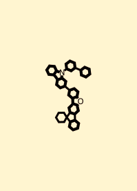 c1ccc(-c2cccc(-n3c4ccccc4c4ccc(-c5ccc6oc7cc8c(cc7c6c5)C5(CCCCC5)c5ccccc5-8)cc43)c2)cc1